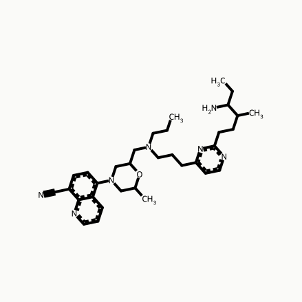 CCCN(CCCc1ccnc(CCC(C)C(N)CC)n1)CC1CN(c2ccc(C#N)c3ncccc23)CC(C)O1